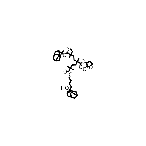 CCC(C)(CCC(C)(CCC(C)(C)C(=O)OCCCCC1(O)C2CC3CC(C2)CC1C3)C(=O)OC1CCOC1=O)C(=O)OC1(C)C2CC3CC(C2)CC1C3